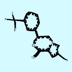 O=c1oc(-c2cccc(C(F)(F)F)c2)cn2cc(I)cc12